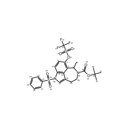 CC1c2c(OS(=O)(=O)C(F)(F)F)ccc3c2c(cn3S(=O)(=O)c2ccccc2)CCN1C(=O)OC(C)(C)C